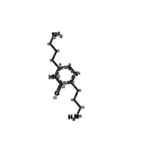 NCCCc1cnc(CCCN)c(=O)[nH]1